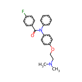 CN(C)CCOc1ccc(N(C(=O)c2ccc(F)cc2)c2ccccc2)cc1